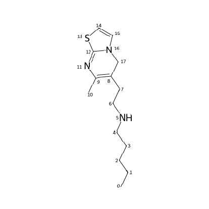 CCCCCNCCC1=C(C)N=C2SC=CN2C1